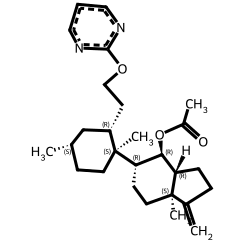 C=C1CC[C@H]2[C@H](OC(C)=O)[C@@H]([C@@]3(C)CC[C@H](C)C[C@@H]3CCOc3ncccn3)CC[C@]12C